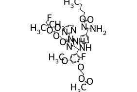 CCCCOC(=O)N=C(N)c1ccc(NC(C2=N[C@@H](OCOC(=O)OC(C)(C)CF)N(c3ncccn3)N2)c2cc(OC)cc(OCCOC(C)=O)c2F)cc1